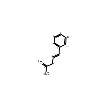 CCC(=O)C/C=C/c1ccccc1